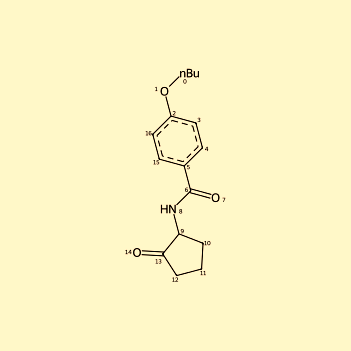 CCCCOc1ccc(C(=O)NC2CCCC2=O)cc1